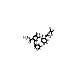 Cc1cncc(Nc2nc(N[C@H]3CCCC[C@H]3NC(=O)OC(C)(C)C)c(F)cc2C(N)=O)c1